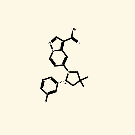 O=C(O)c1cnn2ccc(N3CC(F)(F)C[C@@H]3c3cccc(F)c3)cc12